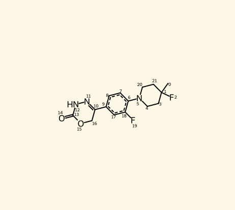 CC1(F)CCN(c2ccc(C3=NNC(=O)OC3)cc2F)CC1